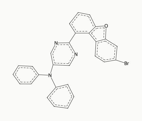 Brc1ccc2c(c1)oc1cccc(-c3ncc(N(c4ccccc4)c4ccccc4)cn3)c12